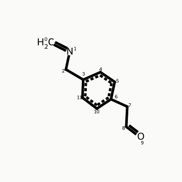 C=NCc1ccc(CC=O)cc1